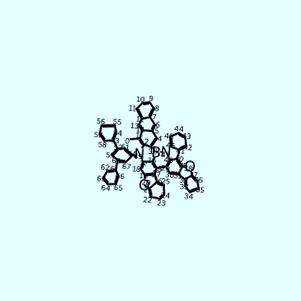 Cc1c2c(cc3cc4ccccc4cc13)B1c3c(cc4oc5ccccc5c4c3-c3cc4c5ccccc5oc4c4c5ccccc5n1c34)N2c1cc(-c2ccccc2)cc(-c2ccccc2)c1